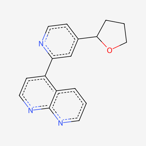 c1cnc2nccc(-c3cc(C4CCCO4)ccn3)c2c1